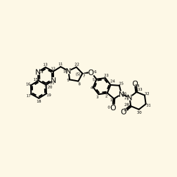 O=C1c2ccc(O[C@H]3CCN(Cc4cnc5ccccc5n4)C3)cc2CN1N1C(=O)CCCC1=O